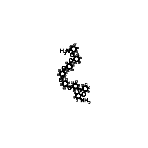 Nc1ccccc1Oc1ccccc1Oc1cccc(Oc2ccc(Oc3ccc(Oc4cccc(Oc5ccccc5Oc5ccccc5N)c4)cc3)cc2)c1